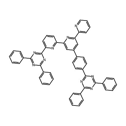 c1ccc(-c2nc(-c3ccccc3)nc(-c3ccc(-c4cc(-c5ccccn5)nc(-c5cccc(-c6nc(-c7ccccc7)nc(-c7ccccc7)n6)n5)c4)cc3)n2)cc1